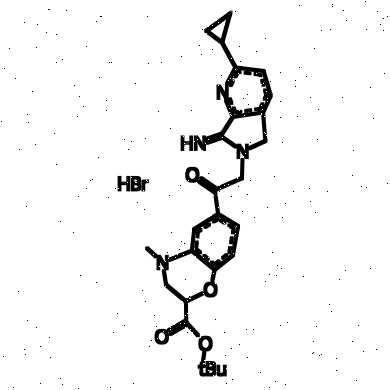 Br.CN1CC(C(=O)OC(C)(C)C)Oc2ccc(C(=O)CN3Cc4ccc(C5CC5)nc4C3=N)cc21